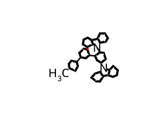 Cc1ccc(-c2cccc(-c3cc(-n4c5ccccc5c5ccccc54)ccc3-n3c4ccccc4c4ccccc43)c2)cc1